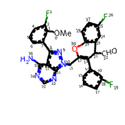 COc1c(F)cccc1-c1nn(CC2=C(c3cccc(F)c3)C(C=O)c3cc(F)ccc3O2)c2ncnc(N)c12